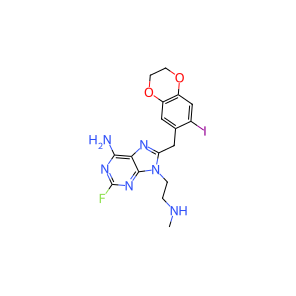 CNCCn1c(Cc2cc3c(cc2I)OCCO3)nc2c(N)nc(F)nc21